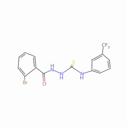 O=C(NNC(=S)Nc1cccc(C(F)(F)F)c1)c1ccccc1Br